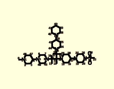 CN1CCC(N2CCN(C(C)(C)C(C)(N3CCC(N4CCN(S(C)(=O)=O)CC4)CC3)C(C)(C)N3CCC(N4CCCCC4)CC3)CC2)CC1